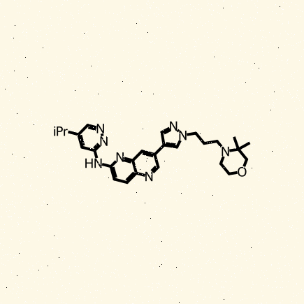 CC(C)c1cnnc(Nc2ccc3ncc(-c4cnn(CCCN5CCOCC5(C)C)c4)cc3n2)c1